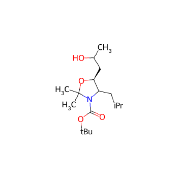 CC(C)CC1[C@H](CC(C)O)OC(C)(C)N1C(=O)OC(C)(C)C